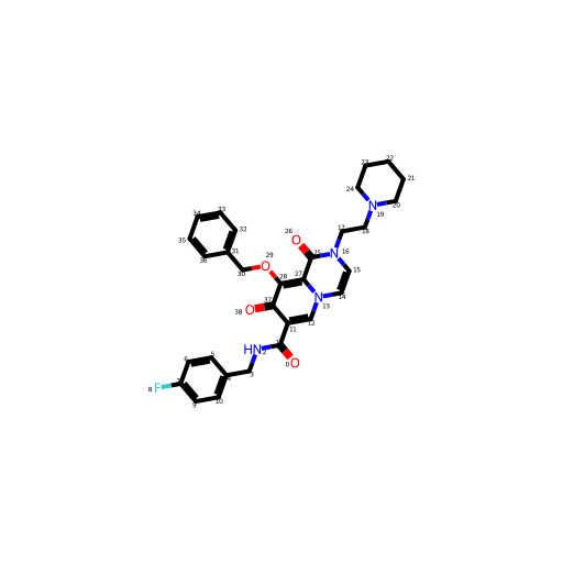 O=C(NCc1ccc(F)cc1)c1cn2ccn(CCN3CCCCC3)c(=O)c2c(OCc2ccccc2)c1=O